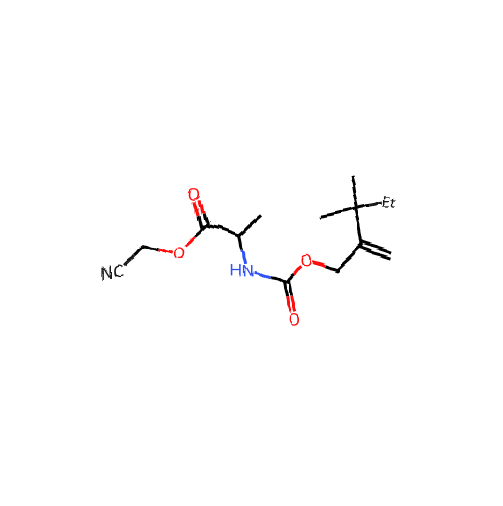 C=C(COC(=O)NC(C)C(=O)OCC#N)C(C)(C)CC